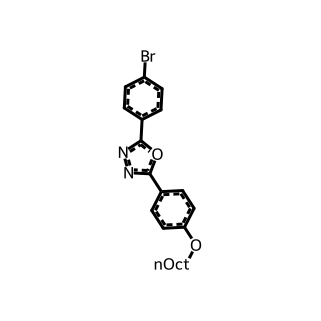 CCCCCCCCOc1ccc(-c2nnc(-c3ccc(Br)cc3)o2)cc1